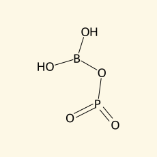 O=P(=O)OB(O)O